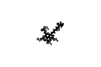 CC(=O)OC[C@H]1O[C@H](SCCCCCNC(=O)C(F)(F)F)[C@@H](OC(C)=O)[C@@H](OC(C)=O)[C@@H]1OC(C)=O